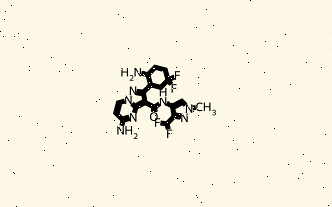 Cn1cc(NC(=O)c2c(C3CC(F)(F)CCC3N)nn3ccc(N)nc23)c(C(F)F)n1